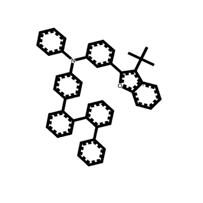 CC(C)(C)c1c(-c2cccc(N(c3ccccc3)c3ccc(-c4ccccc4-c4ccccc4-c4ccccc4)cc3)c2)oc2ccccc12